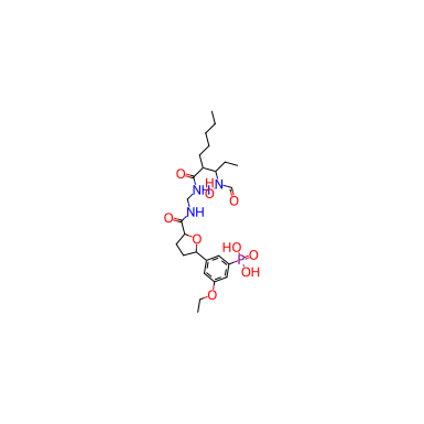 CCCCCC(C(=O)NCNC(=O)C1CCC(c2cc(OCC)cc(P(=O)(O)O)c2)O1)C(CC)N(O)C=O